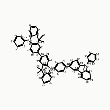 CC1(C)c2ccccc2N(c2ccccc2)c2ccc(-c3ccc4c(c3)C(C)(C)c3ccccc3N4c3ccc(-c4ccc5c(c4)c4ccccc4n5-c4ccccc4)cc3)cc21